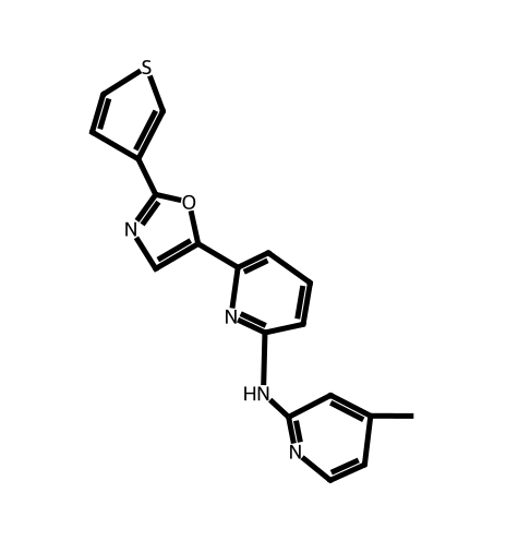 Cc1ccnc(Nc2cccc(-c3cnc(-c4ccsc4)o3)n2)c1